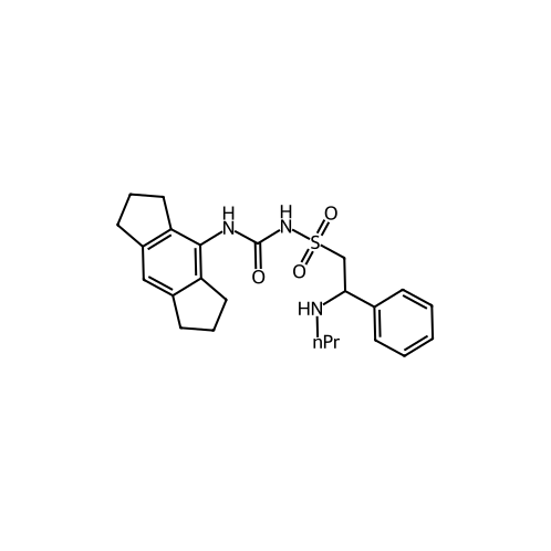 CCCNC(CS(=O)(=O)NC(=O)Nc1c2c(cc3c1CCC3)CCC2)c1ccccc1